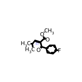 COC(=O)/C(=C/C(C)C)C(=O)c1ccc(F)cc1